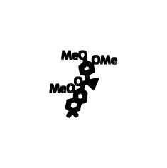 COc1ccc(C2(C(=O)c3ccc4c(c3OC)C=CC(C)(C)C4)CC2)cc1OC